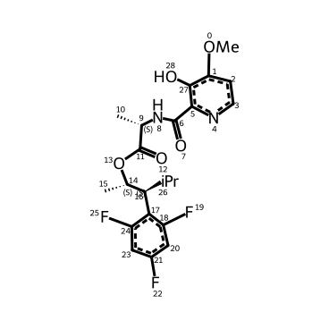 COc1ccnc(C(=O)N[C@@H](C)C(=O)O[C@@H](C)[C@H](c2c(F)cc(F)cc2F)C(C)C)c1O